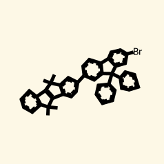 CC1(C)C2=C(c3ccccc31)C(C)(C)c1cc(-c3ccc4c(c3)C(c3ccccc3)(c3ccccc3)c3cc(Br)ccc3-4)ccc12